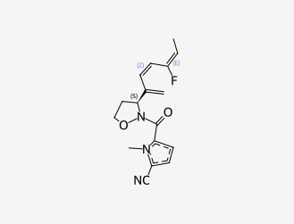 C=C(/C=C\C(F)=C/C)[C@@H]1CCON1C(=O)c1ccc(C#N)n1C